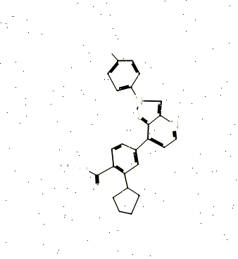 COC(=O)c1ccc(-c2ccnc3cn(-c4ccc(F)cc4)nc23)cc1C1CCCC1